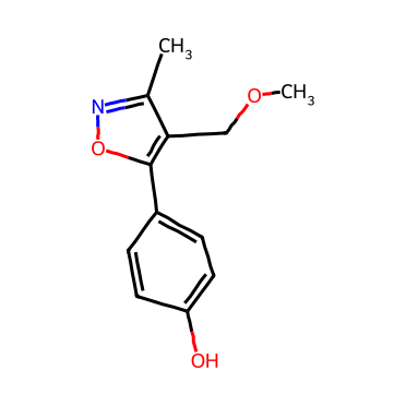 COCc1c(C)noc1-c1ccc(O)cc1